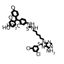 Nc1ncnc2c1nc(Sc1cc(Cl)cc(Cl)c1)n2CCCCCCNC(=S)Nc1ccc(-c2c3ccc(=O)cc-3oc3cc(O)ccc23)c(C(=O)O)c1